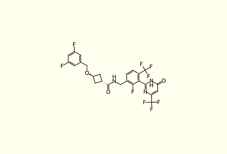 O=c1cc(C(F)(F)F)nc(-c2c(C(F)(F)F)ccc(CNC(=O)[C@H]3C[C@H](OCc4cc(F)cc(F)c4)C3)c2F)[nH]1